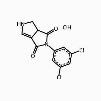 Cl.O=C1C2=CNCC2C(=O)N1c1cc(Cl)cc(Cl)c1